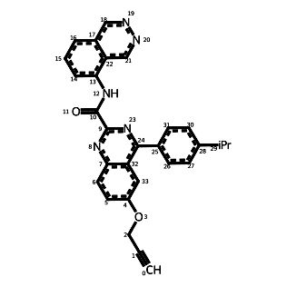 C#CCOc1ccc2nc(C(=O)Nc3cccc4cnncc34)nc(-c3ccc(C(C)C)cc3)c2c1